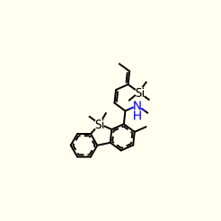 C/C=C(\C=C/C(NC)c1c(C)ccc2c1[Si](C)(C)c1ccccc1-2)[Si](C)(C)C